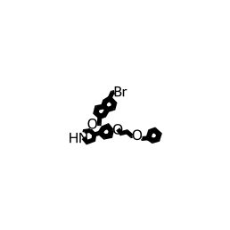 BrCc1ccc2cc(COC3CNCCC3c3ccc(OCCCOCc4ccccc4)cc3)ccc2c1